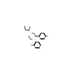 Clc1ccc(C2CN(C3CCSC3)CCN2c2ccc(Cl)cc2Cl)cc1